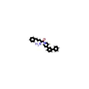 NC(C/C=C/c1ccccc1)C(=O)N1CCC(c2cccc(-c3ccccc3)c2)CC1